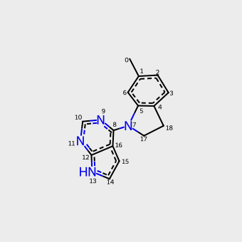 Cc1ccc2c(c1)N(c1ncnc3[nH]ccc13)CC2